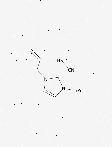 C=CCN1C=CN(CCC)C1.N#CS